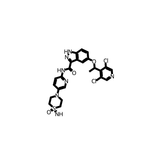 CC(Oc1ccc2[nH]nc(C(=O)Nc3ccc(N4CCS(=N)(=O)CC4)cn3)c2c1)c1c(Cl)cncc1Cl